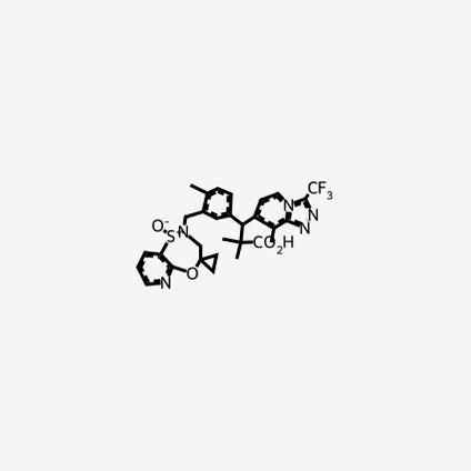 Cc1ccc(C(c2ccn3c(C(F)(F)F)nnc3c2C)C(C)(C)C(=O)O)cc1CN1CC2(CC2)Oc2ncccc2[S+]1[O-]